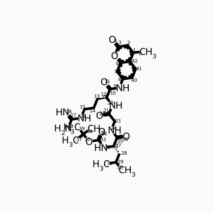 Cc1cc(=O)oc2cc(NC(=O)[C@H](CCCNC(=N)N)NC(=O)CNC(=O)[C@H](CC(C)C)NC(=O)OC(C)(C)C)ccc12